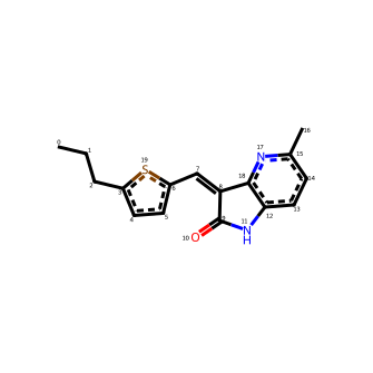 CCCc1ccc(C=C2C(=O)Nc3ccc(C)nc32)s1